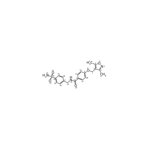 Cc1noc(C)c1COc1ccc(C(=O)NCc2ccc(S(N)(=O)=O)cc2)cc1